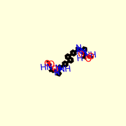 COC(=O)NCC(C)CC(=O)N1CCCC1c1ncc(-c2ccc(-c3cccc4c(-c5ccc(-c6cnc(C7CCCN7C(=O)C(NC(=O)OC)C(C)C)[nH]6)cc5)cccc34)cc2)[nH]1